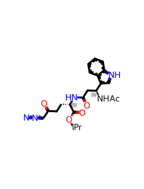 CC(=O)N[C@@H](CC(=O)N[C@@H](CCC(=O)C=[N+]=[N-])C(=O)OC(C)C)c1c[nH]c2ccccc12